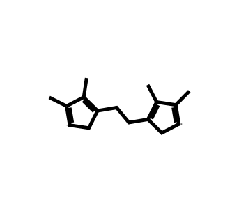 CC1=[C]CC(CCC2=C(C)C(C)=[C]C2)=C1C